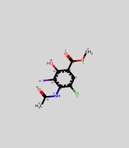 COC(=O)c1cc(Cl)c(NC(C)=O)c(I)c1O